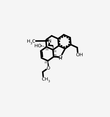 CCO[C@H]1C=C[C@@]2(O)C3Cc4ccc(CO)c5c4[C@@]2(CCN3C)[C@H]1O5